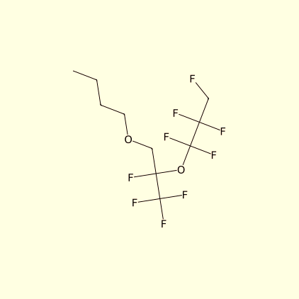 CCCCOCC(F)(OC(F)(F)C(F)(F)CF)C(F)(F)F